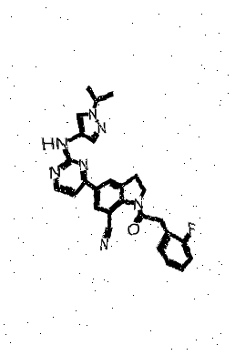 CC(C)n1cc(Nc2nccc(-c3cc(C#N)c4c(c3)CCN4C(=O)Cc3ccccc3F)n2)cn1